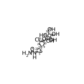 NC(=O)Nc1csc(-c2ccc(OC(O)C3(O)C(O)C(O)C3CO)c(Cl)c2)c1